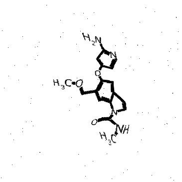 CNC(=O)n1ccc2cc(Oc3ccnc(N)c3)c(COC)cc21